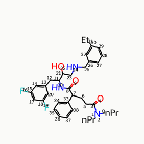 CCCN(CCC)C(=O)CCC(C(=O)NC(Cc1cc(F)cc(F)c1)C(O)CNCc1cccc(CC)c1)c1ccccc1